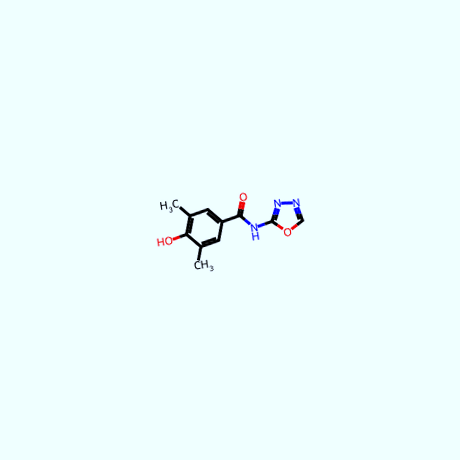 Cc1cc(C(=O)Nc2nnco2)cc(C)c1O